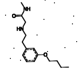 CCCCOc1cccc(CCNCC(=O)NC)c1